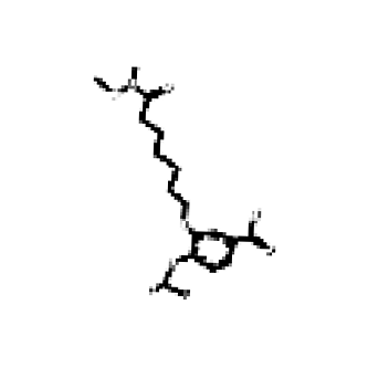 CON(C)C(=O)CCCCCCOc1cc(C(=O)Cl)ccc1OC(F)F